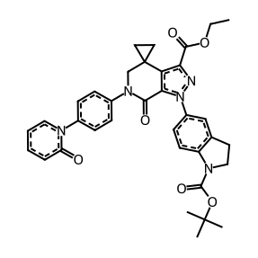 CCOC(=O)c1nn(-c2ccc3c(c2)CCN3C(=O)OC(C)(C)C)c2c1C1(CC1)CN(c1ccc(-n3ccccc3=O)cc1)C2=O